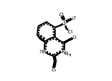 O=c1[nH]c(=O)c2c(S(=O)(=O)Cl)cccc2[nH]1